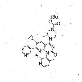 Cc1ccnc(C(C)C)c1-n1c(=O)nc(N2CCN(C(=O)OC(C)(C)C)CC2C)c2cc(C3CC3)c(-c3cccnc3)nc21